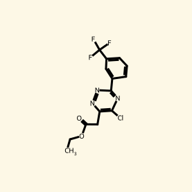 CCOC(=O)Cc1nnc(-c2cccc(C(F)(F)F)c2)nc1Cl